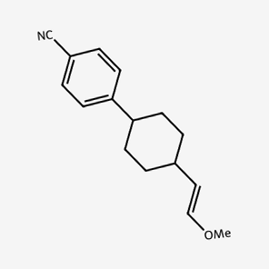 COC=CC1CCC(c2ccc(C#N)cc2)CC1